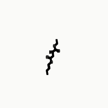 CCC=COC(=O)CNC(=O)OCC